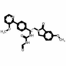 COc1ccc2c(c1)C(=O)N(C[C@H](NC(=O)NC=O)c1ccc(-c3ncccc3OC)cc1)C2